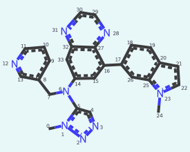 Cn1nncc1N(Cc1cccnc1)c1cc(-c2ccc3ccn(C)c3c2)c2nccnc2c1